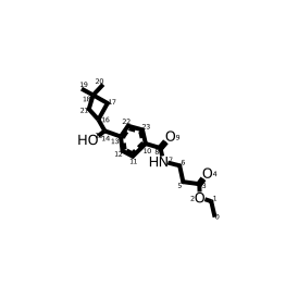 CCOC(=O)CCNC(=O)c1ccc(C(O)C2CC(C)(C)C2)cc1